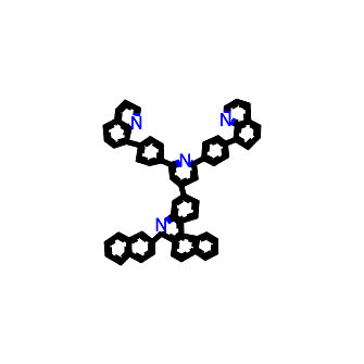 c1ccc2cc(-c3nc4cc(-c5cc(-c6ccc(-c7cccc8cccnc78)cc6)nc(-c6ccc(-c7cccc8cccnc78)cc6)c5)ccc4c4c3ccc3ccccc34)ccc2c1